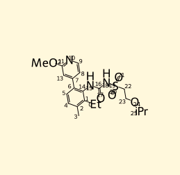 CCc1c(C)ccc(-c2ccnc(OC)c2)c1NC(=O)NS(=O)(=O)CCOC(C)C